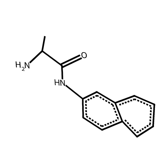 CC(N)C(=O)Nc1ccc2ccccc2c1